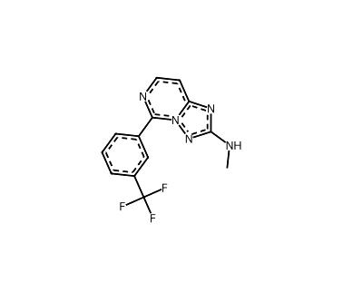 CNc1nc2ccnc(-c3cccc(C(F)(F)F)c3)n2n1